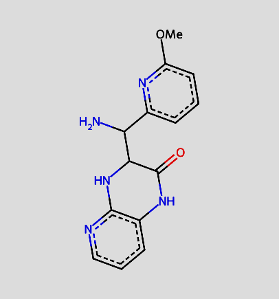 COc1cccc(C(N)C2Nc3ncccc3NC2=O)n1